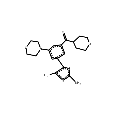 Cc1nc(N)sc1-c1cc(C(=O)C2CCOCC2)cc(N2CCOCC2)c1